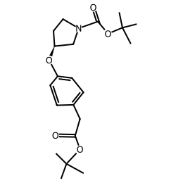 CC(C)(C)OC(=O)Cc1ccc(O[C@H]2CCN(C(=O)OC(C)(C)C)C2)cc1